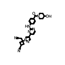 N#CCC1(n2cc(-c3ccnc(Nc4ccc(C(=O)N5CCC(O)CC5)cc4)n3)cn2)CC(C#N)C1